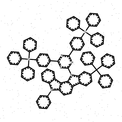 c1ccc(-n2c3ccccc3c3c2ccc2c4ccc(C(c5ccccc5)(c5ccccc5)c5ccccc5)cc4n(-c4nc(-c5ccc([Si](c6ccccc6)(c6ccccc6)c6ccccc6)cc5)nc(-c5ccc([Si](c6ccccc6)(c6ccccc6)c6ccccc6)cc5)n4)c23)cc1